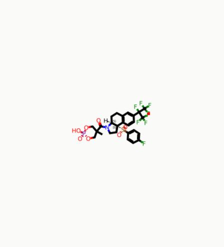 CC1(C(=O)N2CC[C@]3(S(=O)(=O)c4ccc(F)cc4)c4ccc(C(F)(C(F)(F)F)C(F)(F)F)cc4CC[C@H]23)COP(=O)(O)OC1